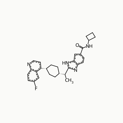 CC(c1nc2ccc(C(=O)NC3CCC3)cc2[nH]1)[C@H]1CC[C@@H](c2ccnc3ccc(F)cc32)CC1